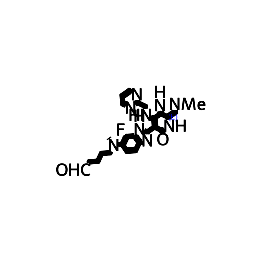 CN/C=C1/NC(=O)C(c2nc3ccc(N(C)CCCCC=O)c(F)c3[nH]2)=C(NCc2ncccn2)C1=N